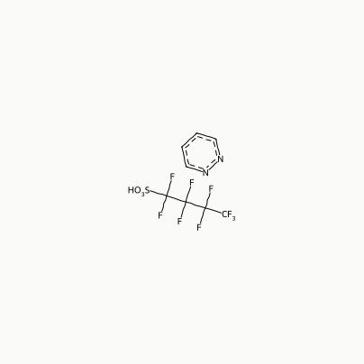 O=S(=O)(O)C(F)(F)C(F)(F)C(F)(F)C(F)(F)F.c1ccnnc1